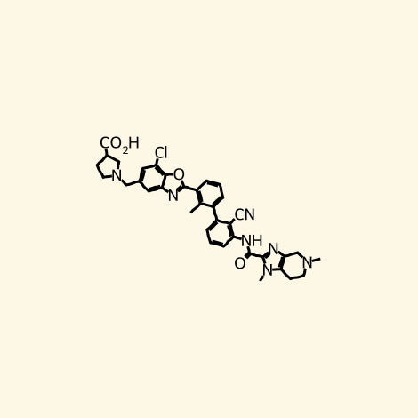 Cc1c(-c2nc3cc(CN4CCC(C(=O)O)C4)cc(Cl)c3o2)cccc1-c1cccc(NC(=O)c2nc3c(n2C)CCN(C)C3)c1C#N